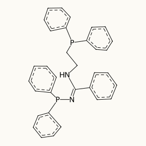 c1ccc(C(=NP(c2ccccc2)c2ccccc2)NCCP(c2ccccc2)c2ccccc2)cc1